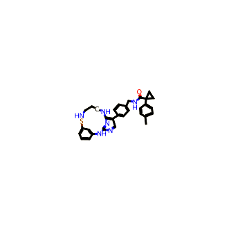 Cc1ccc(C2(C(=O)NCc3ccc(-c4cnc5nc4NCCCNSc4cccc(c4)N5)cc3)CC2)cc1